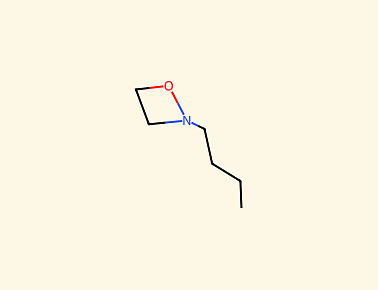 CCCCN1CCO1